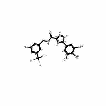 O=C(NCc1cc(F)cc(C(F)(F)F)c1)c1nnc(-c2cc(Cl)c(O)c(Cl)c2)o1